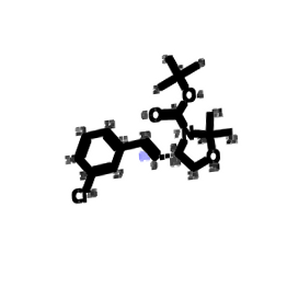 CC(C)(C)OC(=O)N1[C@@H](/C=C/c2cccc(Cl)c2)COC1(C)C